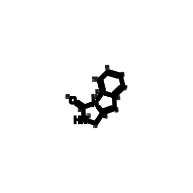 O=C1NCc2cc3ccccc3n21